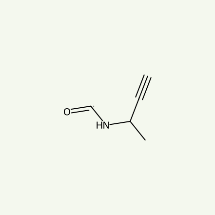 C#CC(C)N[C]=O